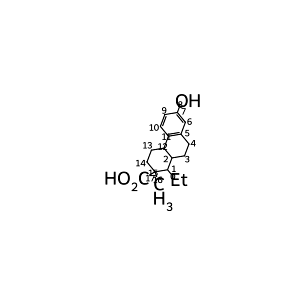 CCC1C2CCc3cc(O)ccc3C2CCC1(C)C(=O)O